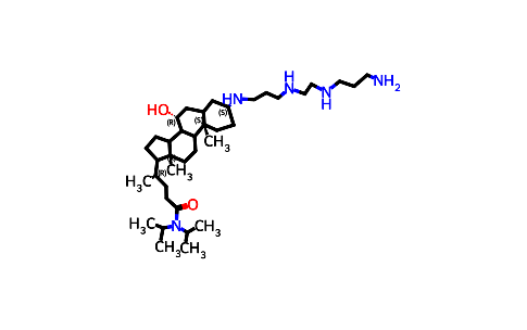 CC(C)N(C(=O)CC[C@@H](C)C1CCC2C3C(CC[C@@]21C)[C@@]1(C)CC[C@H](NCCCNCCNCCCN)CC1C[C@H]3O)C(C)C